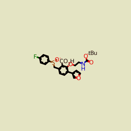 CC(C)(C)OC(=O)NCCOc1c(-c2ccoc2)ccc(C[S+]([O-])c2ccc(F)cc2)c1C(=O)O